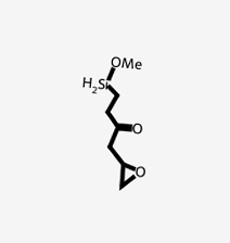 CO[SiH2]CCC(=O)CC1CO1